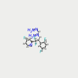 N/N=C\N(N)CC(c1cc(F)ccc1F)C(F)(F)c1cc(F)ccn1